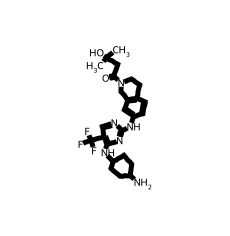 CC(C)(O)CC(=O)N1CCc2ccc(Nc3ncc(C(F)(F)F)c(NC4CCC(N)CC4)n3)cc2C1